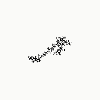 CC(C)N(CC1OC(n2cnc3c(NCCCCNC(=O)CCCCCCCCCNc4cccc5c4C(=O)N(C4CCC(=O)NC4=O)C5=O)ncnc32)C(O)C1O)C1CC(CCc2nc3cc(C(C)(C)C)ccc3[nH]2)C1